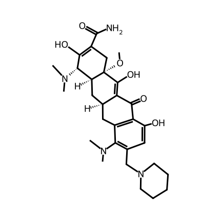 CO[C@@]12CC(C(N)=O)=C(O)[C@@H](N(C)C)[C@@H]1C[C@@H]1Cc3c(c(O)cc(CN4CCCCC4)c3N(C)C)C(=O)C1=C2O